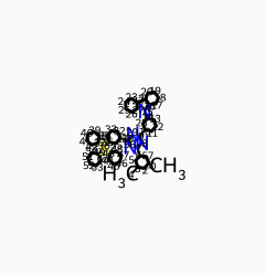 Cc1cc(C)cc(-c2nc(-c3cccc(-n4c5ccccc5c5ccccc54)c3)nc(-c3cccc(S(c4ccccc4)(c4ccccc4)c4ccccc4)c3)n2)c1